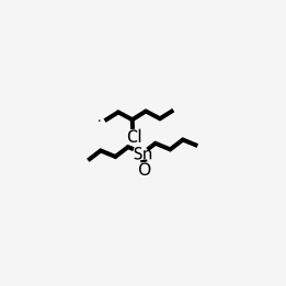 CCC[CH2][Sn](=[O])[CH2]CCC.[CH2]CC(Cl)CCC